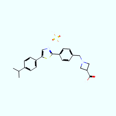 CC(C)c1ccc(-c2cnc(-c3ccc(CN4CC(C(=O)O)C4)cc3)s2)cc1.O=S(=O)(O)O